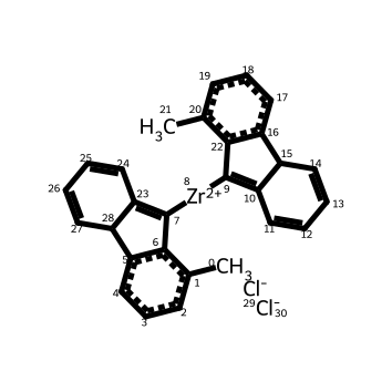 Cc1cccc2c1[C]([Zr+2][C]1=C3C=CC=CC3c3cccc(C)c31)=C1C=CC=CC12.[Cl-].[Cl-]